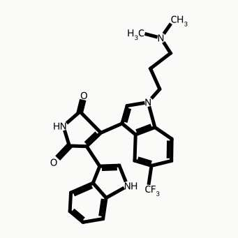 CN(C)CCCn1cc(C2=C(c3c[nH]c4ccccc34)C(=O)NC2=O)c2cc(C(F)(F)F)ccc21